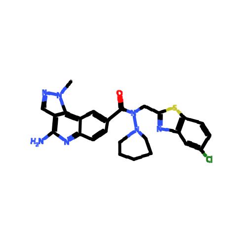 Cn1ncc2c(N)nc3ccc(C(=O)N(Cc4nc5cc(Cl)ccc5s4)N4CCCCC4)cc3c21